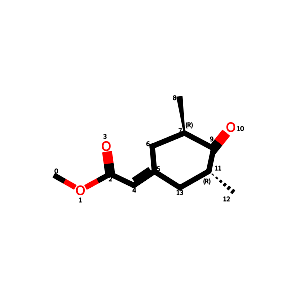 COC(=O)C=C1C[C@@H](C)C(=O)[C@H](C)C1